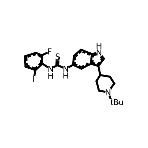 CC(C)(C)N1CCC(c2c[nH]c3ccc(NC(=S)Nc4c(F)cccc4I)cc23)CC1